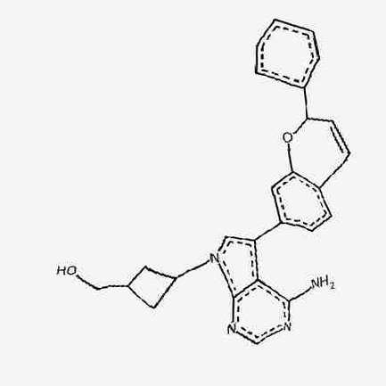 Nc1ncnc2c1c(-c1ccc3c(c1)OC(c1ccccc1)C=C3)cn2C1CC(CO)C1